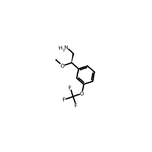 CO[C@@H](CN)c1cccc(OC(F)(F)F)c1